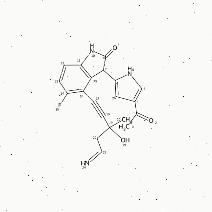 CC(=O)c1c[nH]c(C2C(=O)Nc3ccc(F)c(C#CC(C)(O)CC=N)c32)c1